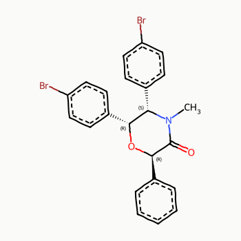 CN1C(=O)[C@@H](c2ccccc2)O[C@H](c2ccc(Br)cc2)[C@@H]1c1ccc(Br)cc1